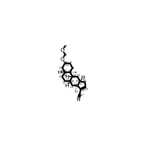 COCO[C@H]1CC[C@]2(C)[C@H](CC[C@@H]3C[C@]4(C)C(C#N)=CC[C@@H]4C[C@H]32)C1